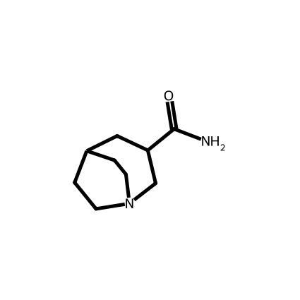 NC(=O)C1CC2CCN(CC2)C1